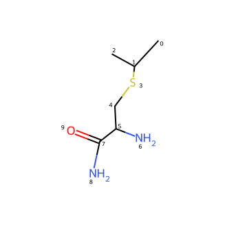 CC(C)SCC(N)C(N)=O